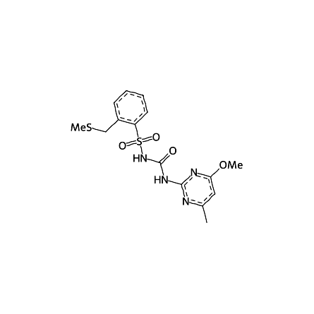 COc1cc(C)nc(NC(=O)NS(=O)(=O)c2ccccc2CSC)n1